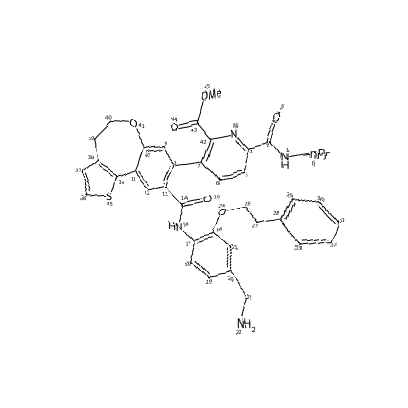 CCCNC(=O)c1ccc(-c2cc3c(cc2C(=O)Nc2ccc(CN)cc2OCCc2ccccc2)-c2sccc2CCO3)c(C(=O)OC)n1